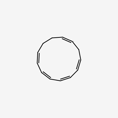 [C]1=CCCC=CC=CC=CC=CC1